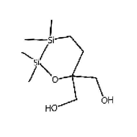 C[Si]1(C)CCC(CO)(CO)O[Si]1(C)C